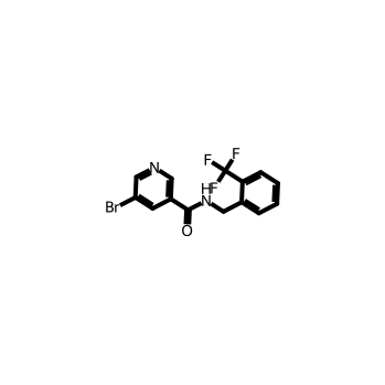 O=C(NCc1ccccc1C(F)(F)F)c1cncc(Br)c1